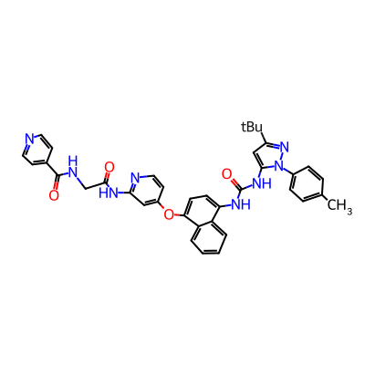 Cc1ccc(-n2nc(C(C)(C)C)cc2NC(=O)Nc2ccc(Oc3ccnc(NC(=O)CNC(=O)c4ccncc4)c3)c3ccccc23)cc1